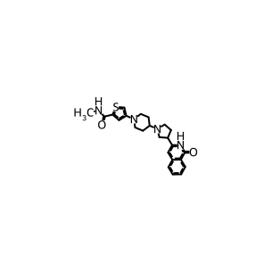 CNC(=O)c1cc(N2CCC(N3CCC(c4cc5ccccc5c(=O)[nH]4)C3)CC2)cs1